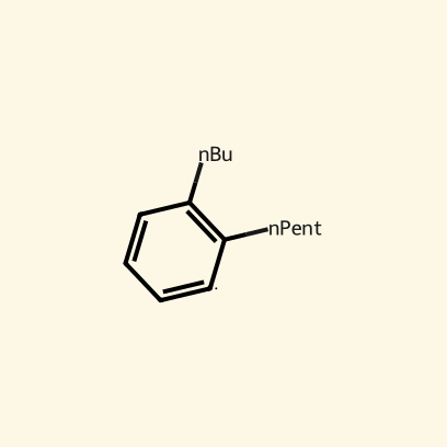 CCCCCc1[c]cccc1CCCC